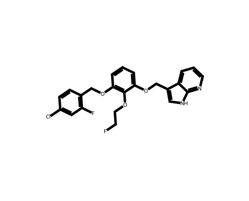 FCCOc1c(OCc2ccc(Cl)cc2F)cccc1OCc1c[nH]c2ncccc12